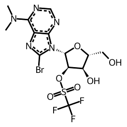 CN(C)c1ncnc2c1nc(Br)n2[C@@H]1O[C@H](CO)[C@@H](O)[C@H]1OS(=O)(=O)C(F)(F)F